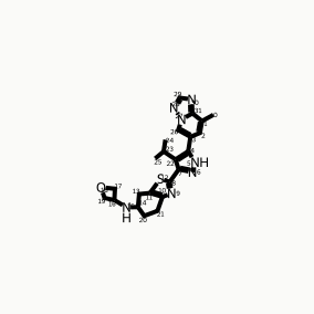 Cc1cc(-c2[nH]nc(-c3nc4c(s3)CC(NC3COC3)CC4)c2C(C)C)cn2ncnc12